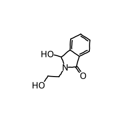 O=C1c2ccccc2C(O)N1CCO